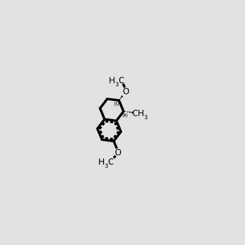 COc1ccc2c(c1)[C@@H](C)[C@@H](OC)CC2